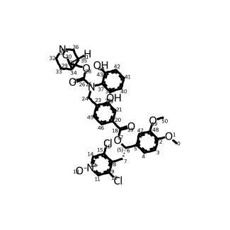 COc1ccc([C@H](Cc2c(Cl)c[n+]([O-])cc2Cl)OC(=O)c2ccc(CN(C(=O)O[C@H]3CN4CCC3CC4)c3c(O)cccc3O)cc2)cc1OC